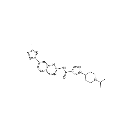 Cc1nnc(-c2ccc3cnc(NC(=O)c4cnn(C5CCN(C(C)C)CC5)c4)nc3c2)s1